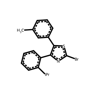 Cc1cccc(-c2sc(Br)nc2-c2ccccc2C(C)C)c1